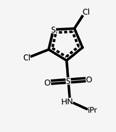 CC(C)NS(=O)(=O)c1cc(Cl)sc1Cl